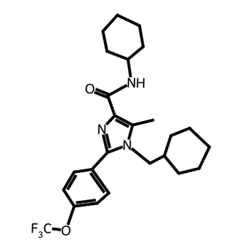 Cc1c(C(=O)NC2CCCCC2)nc(-c2ccc(OC(F)(F)F)cc2)n1CC1CCCCC1